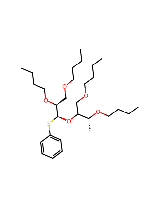 CCCCOCC(O[C@@H](Sc1ccccc1)[C@H](COCCCC)OCCCC)[C@@H](C)OCCCC